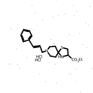 CCOC(=O)C1CSC2(CCN(CC=Cc3ccccc3)CC2)N1.Cl.Cl